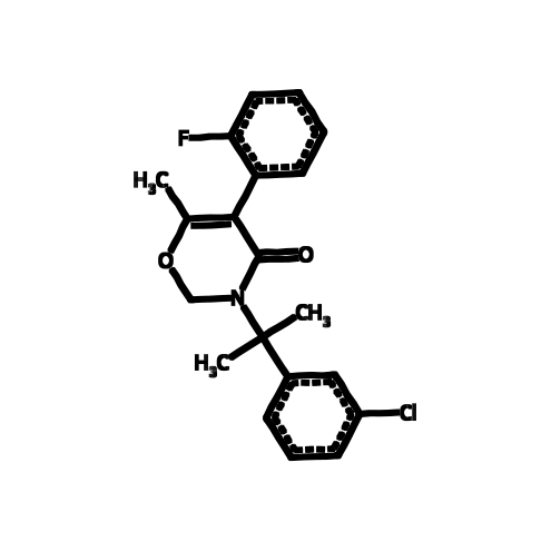 CC1=C(c2ccccc2F)C(=O)N(C(C)(C)c2cccc(Cl)c2)CO1